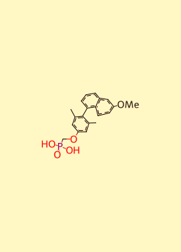 COc1ccc2c(-c3c(C)cc(OCP(=O)(O)O)cc3C)cccc2c1